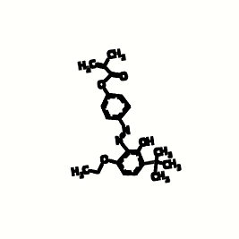 C=C(C)C(=O)Oc1ccc(N=Nc2c(OCC)ccc(C(C)(C)C)c2O)cc1